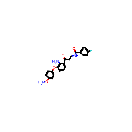 NOc1ccc(Oc2cccc(C(=O)CCNC(=O)c3ccc(F)cc3)c2N)cc1